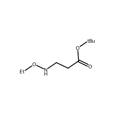 CCONCCC(=O)OC(C)(C)C